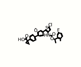 COc1cc(-c2sc(Cl)cc2NC(=O)OC(C)c2cc(F)ccc2C)ccc1-c1ccc(C2(C(=O)O)CC2)cc1